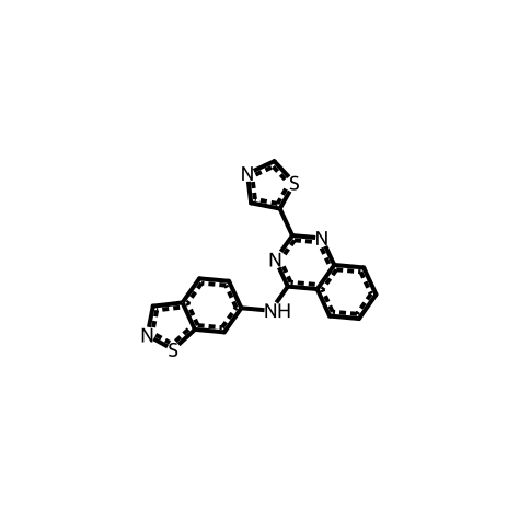 c1ccc2c(Nc3ccc4cnsc4c3)nc(-c3cncs3)nc2c1